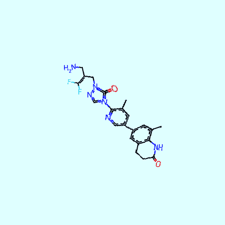 Cc1cc(-c2cc(C)c3c(c2)CCC(=O)N3)cnc1-n1cnn(CC(CN)=C(F)F)c1=O